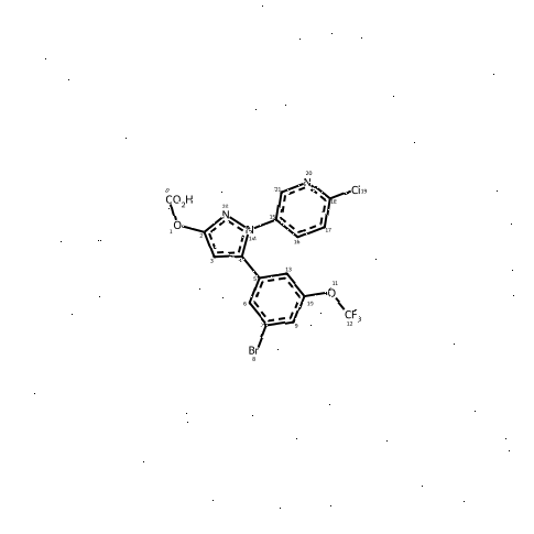 O=C(O)Oc1cc(-c2cc(Br)cc(OC(F)(F)F)c2)n(-c2ccc(Cl)nc2)n1